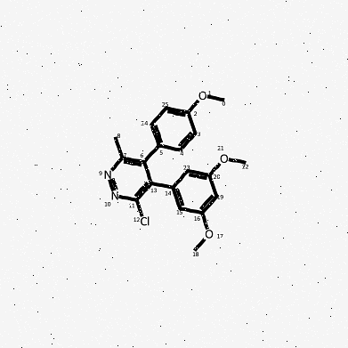 COc1ccc(-c2c(C)nnc(Cl)c2-c2cc(OC)cc(OC)c2)cc1